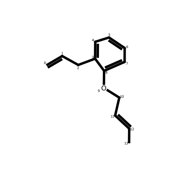 C=CCc1ccccc1OC/C=C/C